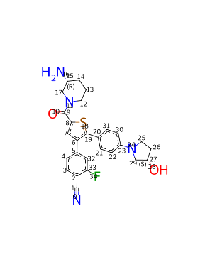 N#Cc1ccc(-c2cc(C(=O)N3CCC[C@@H](N)C3)sc2-c2ccc(N3CC[C@H](O)C3)cc2)cc1F